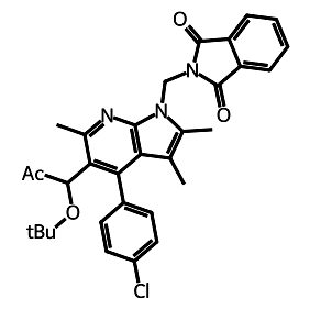 CC(=O)C(OC(C)(C)C)c1c(C)nc2c(c(C)c(C)n2CN2C(=O)c3ccccc3C2=O)c1-c1ccc(Cl)cc1